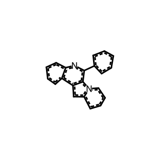 c1ccc(-c2nc3ccccc3c3cc4ccccn4c23)cc1